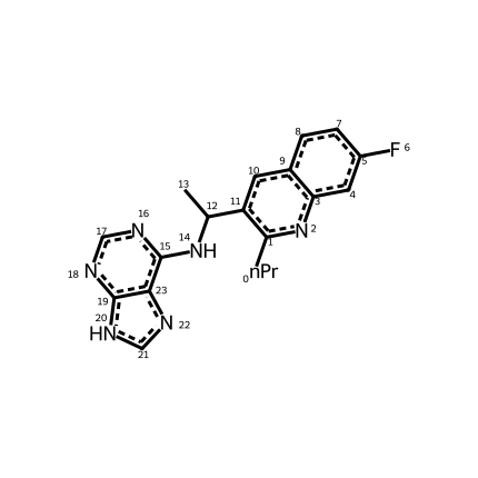 CCCc1nc2cc(F)ccc2cc1C(C)Nc1ncnc2[nH]cnc12